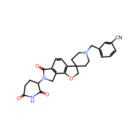 N#Cc1cccc(CN2CCC3(CC2)COc2c3ccc3c2CN(C2CCC(=O)NC2=O)C3=O)c1